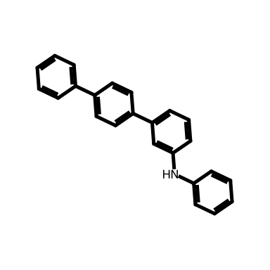 c1ccc(Nc2cccc(-c3ccc(-c4ccccc4)cc3)c2)cc1